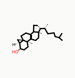 CC(C)CCC[C@@H](C)[C@H]1CCC2C3=C(CC[C@@]21C)[C@@]1(C)CC[C@@H](O)[C@H]2C[C@]21CC3